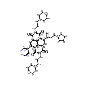 C/C=C\C(=C/C)c1cc2c3c(c(NCCN4CCCC4)cc4c3c1C(=O)N(CCCN1CCOCC1)C4=O)C(=O)N(CCCN1CCOCC1)C2=O